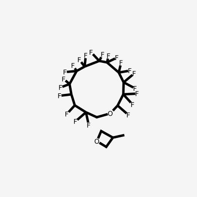 CC1COC1.FC1C(F)C(F)(F)C(F)(F)C(F)(F)C(F)(F)C(F)(F)C(F)(F)C(F)(F)C(F)(F)C(F)OCC1(F)F